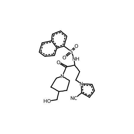 N#Cc1cccn1CCC(NS(=O)(=O)c1cccc2ccccc12)C(=O)N1CCC(CO)CC1